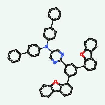 c1ccc(-c2ccc(N(c3ccc(-c4ccccc4)cc3)c3cnc(-c4cc(-c5cccc6c5oc5ccccc56)cc(-c5cccc6c5oc5ccccc56)c4)nc3)cc2)cc1